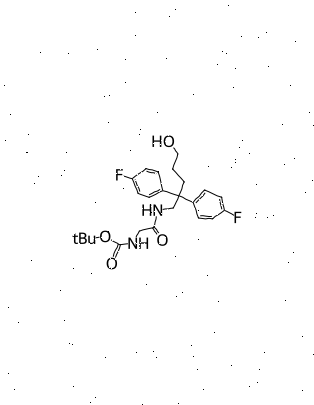 CC(C)(C)OC(=O)NCC(=O)NCC(CCCO)(c1ccc(F)cc1)c1ccc(F)cc1